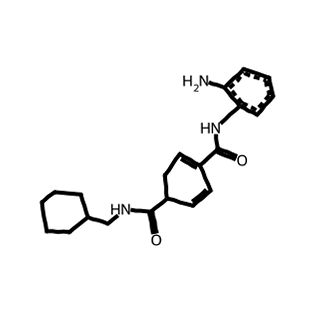 Nc1ccccc1NC(=O)C1=CCC(C(=O)NCC2CCCCC2)C=C1